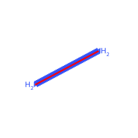 N/N=N/N=N/N=N/N=N/N=N/N=N/N=N/N=N/N=N/N=N/N=N/N=N/N=N/N=N/N=N/N=N/N=N/N=N/N=N/N=N/N=N/N=N/N=N/N=N/N=N/N=N/N=N/N=N/N=N/N=N/N=N/N=N/N=N/N=N/N=N/N=N/N=N/N=N/N=N/N=N/N=N/N=N/N=N/N=N/N